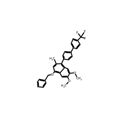 COc1cc2c(OCc3ccccc3)cc(C)c(-c3ccc(-c4ccc(C(F)(F)F)cc4)cc3)c2cc1OC